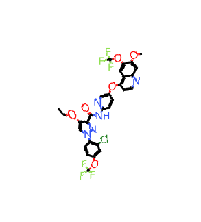 CCOc1cn(-c2ccc(OC(F)(F)F)cc2Cl)nc1C(=O)Nc1ccc(Oc2ccnc3cc(OC)c(OC(F)(F)F)cc23)cn1